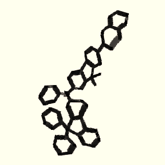 CC1(C)c2cc(-c3ccc4ccccc4c3)ccc2-c2ccc(N(c3ccccc3)c3ccc4c(c3)C(c3ccccc3)(c3ccccc3)c3ccccc3-4)cc21